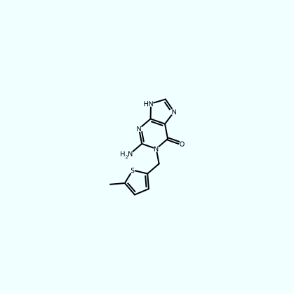 Cc1ccc(Cn2c(N)nc3[nH]cnc3c2=O)s1